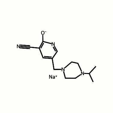 CC(C)N1CCN(Cc2cnc([O-])c(C#N)c2)CC1.[Na+]